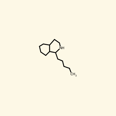 CCCCCC1NCCC2CCCCC21